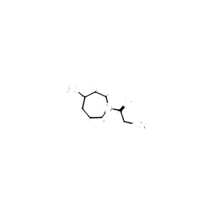 CCC1CCCN(C(=O)CC#N)CC1